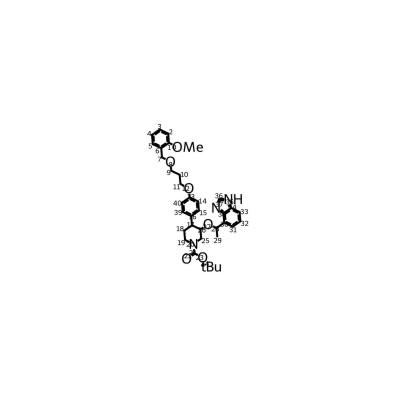 COc1ccccc1COCCCOc1ccc(C2CCN(C(=O)OC(C)(C)C)CC2OC(C)c2cccc3[nH]cnc23)cc1